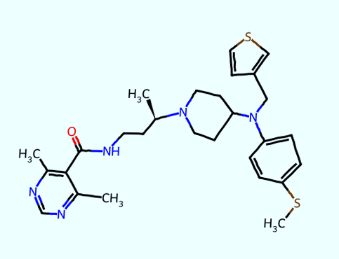 CSc1ccc(N(Cc2ccsc2)C2CCN([C@H](C)CCNC(=O)c3c(C)ncnc3C)CC2)cc1